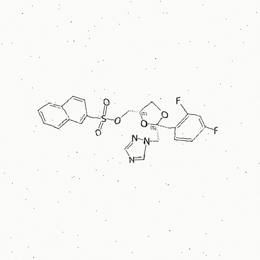 O=S(=O)(OC[C@@H]1CO[C@@](Cn2cncn2)(c2ccc(F)cc2F)O1)c1ccc2ccccc2c1